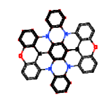 c1ccc(N2c3cccc4c3[Si]3(c5ccccc5)c5c(cccc5N(c5ccccc5)c5c6c7c(c2c53)N(c2ccccc2)c2cccc3c2[Si]7(c2ccccc2)c2c(cccc2N6c2ccccc2)O3)O4)cc1